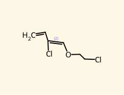 C=C/C(Cl)=C/OCCCl